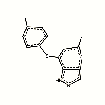 Cc1ccc(Sc2cc(C)nc3cn[nH]c23)cc1